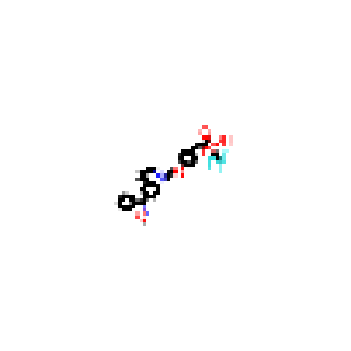 CON=C(c1ccccc1)c1ccc2c(c1)C(C)(C)CCN2CCOc1ccc(CC(OCC(F)(F)F)C(=O)O)cc1